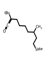 CSCCC(C)CCCCC(=C=O)C(C)(C)C